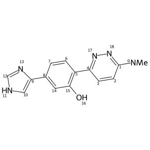 CNc1ccc(-c2ccc(-c3c[nH]cn3)cc2O)nn1